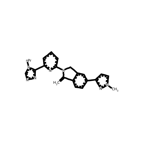 C=C1c2ccc(-c3ccn(C)n3)cc2CN1c1cccc(-c2nncn2CCC)n1